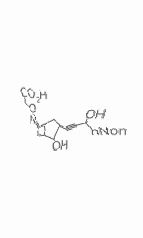 CCCCCCCCCC(O)C#CC1CC2C(=NOCC(=O)O)CC2C1O